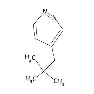 CC(C)(C)Cc1ccnnc1